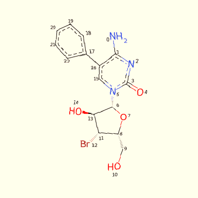 Nc1nc(=O)n([C@@H]2O[C@H](CO)[C@H](Br)[C@H]2O)cc1-c1ccccc1